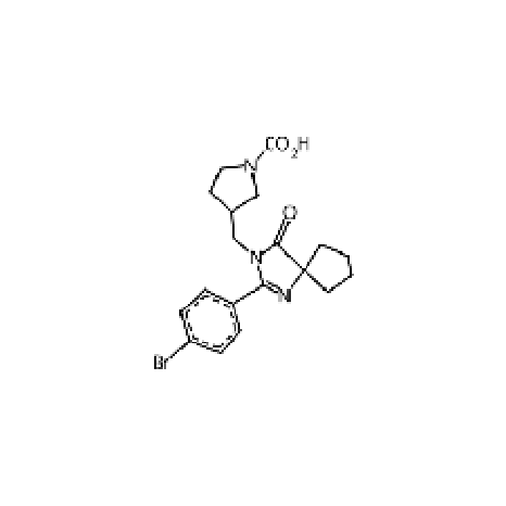 O=C(O)N1CCC(CN2C(=O)C3(CCCC3)N=C2c2ccc(Br)cc2)C1